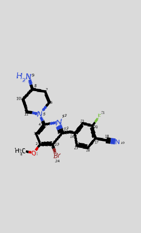 COc1cc(N2CCC(N)CC2)nc(-c2ccc(C#N)c(F)c2)c1Br